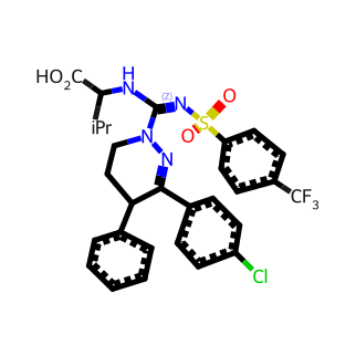 CC(C)C(N/C(=N/S(=O)(=O)c1ccc(C(F)(F)F)cc1)N1CCC(c2ccccc2)C(c2ccc(Cl)cc2)=N1)C(=O)O